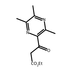 CCOC(=O)CC(=O)c1nc(C)c(C)nc1C